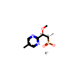 CO[C@H](c1ncc(C)cn1)[C@H](C)S(=O)[O-].[K+]